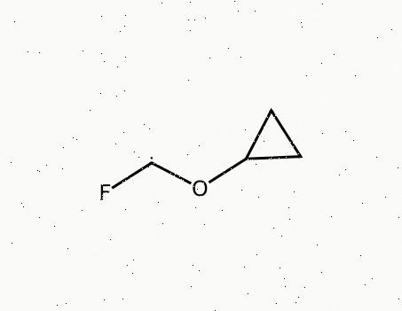 F[CH]OC1CC1